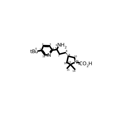 CC(C)(C)c1ccc(C(N)CC[C@@H]2CN(C(=O)O)C(C)(C)C2)nc1